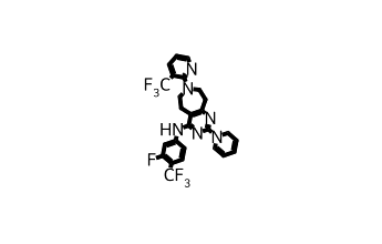 Fc1cc(Nc2nc(N3C=CC=CC3)nc3c2CCN(c2ncccc2C(F)(F)F)CC3)ccc1C(F)(F)F